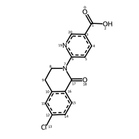 O=C(O)c1ccc(N2CCc3cc(Cl)ccc3C2=O)nc1